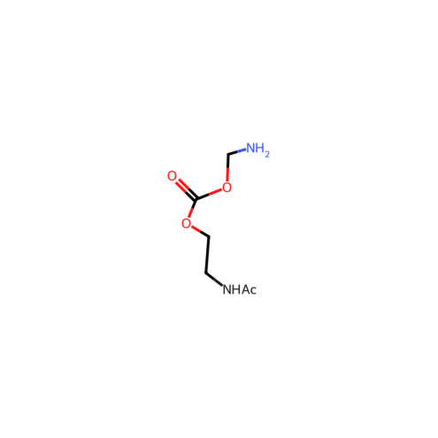 CC(=O)NCCOC(=O)OCN